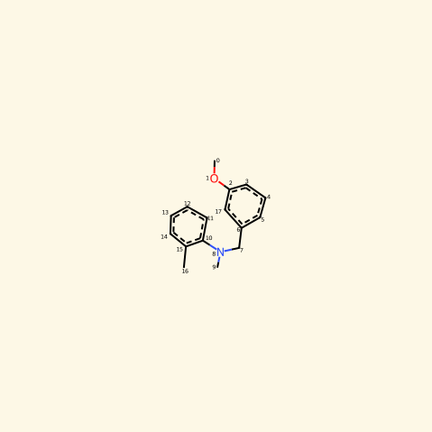 COc1cccc(CN(C)c2ccccc2C)c1